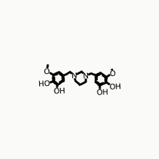 COc1cc(CN2CCCN(Cc3cc(O)c(O)c(OC)c3)C2)cc(O)c1O